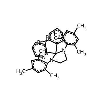 Cc1cc(C)c(N2CCN(c3c(C)cc(C)cc3C)C2(c2ncccc2Br)c2ncccc2Br)c(C)c1